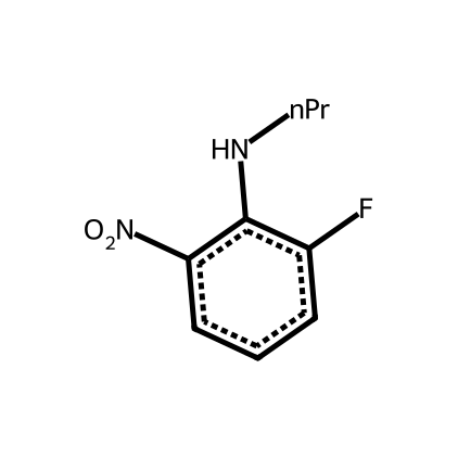 CCCNc1c(F)cccc1[N+](=O)[O-]